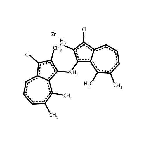 Cc1cccc2c(Cl)c(C)c([SiH2]c3c(C)c(Cl)c4cccc(C)c(C)c3-4)c-2c1C.[Zr]